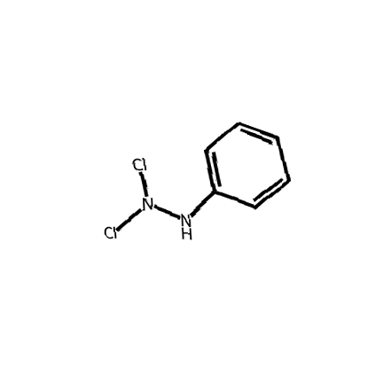 ClN(Cl)Nc1ccccc1